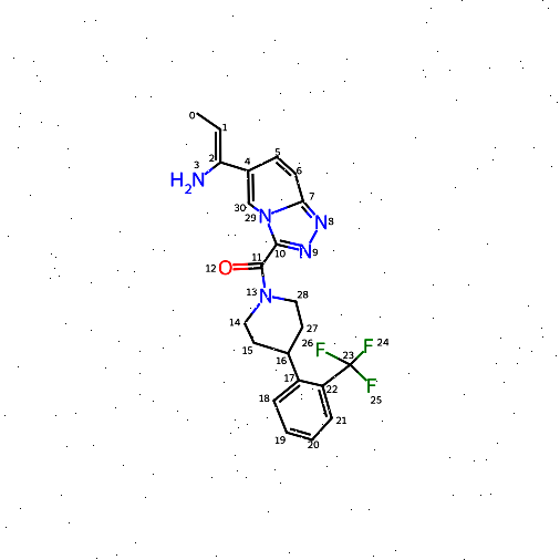 C/C=C(\N)c1ccc2nnc(C(=O)N3CCC(c4ccccc4C(F)(F)F)CC3)n2c1